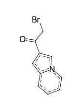 O=C(CBr)c1cc2ccccn2c1